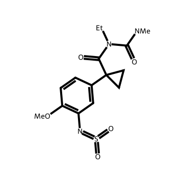 CCN(C(=O)NC)C(=O)C1(c2ccc(OC)c(N=S(=O)=O)c2)CC1